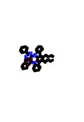 CCCCc1c(CCCC)c2c3ccccc3n(-c3nc(-c4ccccc4)nc(-c4ccccc4)n3)c2c2c1c1ccccc1n2-c1ccccc1